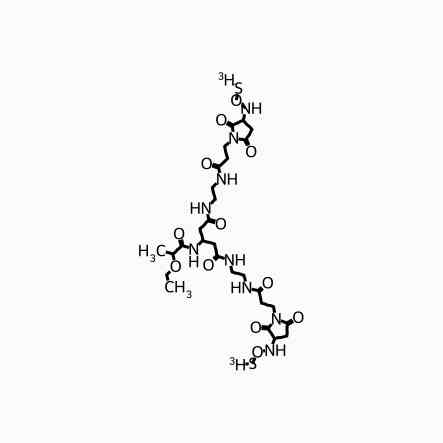 [3H]SONC1CC(=O)N(CCC(=O)NCCNC(=O)CC(CC(=O)NCCNC(=O)CCN2C(=O)CC(NOS[3H])C2=O)NC(=O)C(C)OCC)C1=O